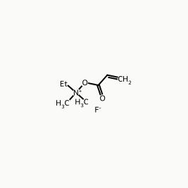 C=CC(=O)O[N+](C)(C)CC.[F-]